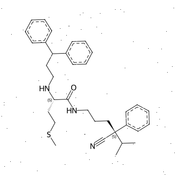 CSCC[C@H](NCCC(c1ccccc1)c1ccccc1)C(=O)NCCC[C@@](C#N)(c1ccccc1)C(C)C